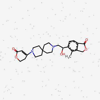 Cc1c(C(O)CN2CCC3(CC2)CCN(C2=CC(=O)OCC2)CC3)ccc2c1COC2=O